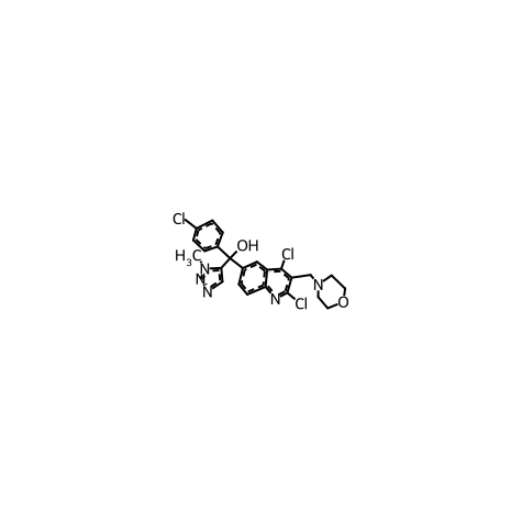 Cn1nncc1C(O)(c1ccc(Cl)cc1)c1ccc2nc(Cl)c(CN3CCOCC3)c(Cl)c2c1